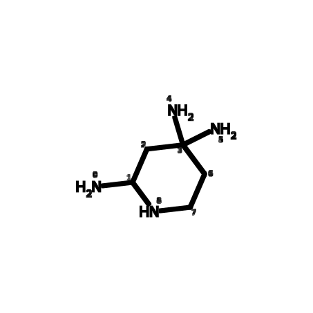 NC1CC(N)(N)CCN1